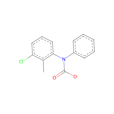 Cc1c(Cl)cccc1N(C([O])=O)c1ccccc1